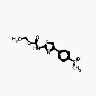 CCOC(=O)Nc1nc(-c2ccc([S+](C)[O-])cc2)cs1